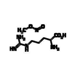 CON=O.N=C(N)NCCCC(N)C(=O)O